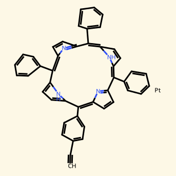 C#Cc1ccc(-c2c3nc(c(-c4ccccc4)c4ccc([nH]4)c(-c4ccccc4)c4nc(c(-c5ccccc5)c5ccc2[nH]5)C=C4)C=C3)cc1.[Pt]